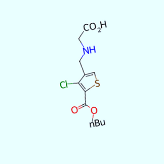 CCCCOC(=O)c1scc(CNCC(=O)O)c1Cl